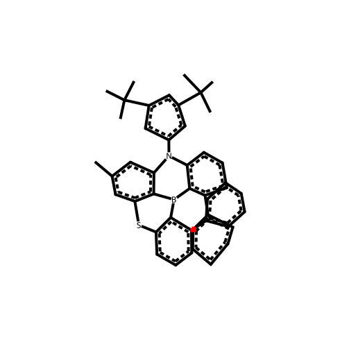 Cc1cc2c3c(c1)N(c1cc(C(C)(C)C)cc(C(C)(C)C)c1)c1cccc(-c4ccccc4)c1B3c1c(cccc1-c1ccccc1)S2